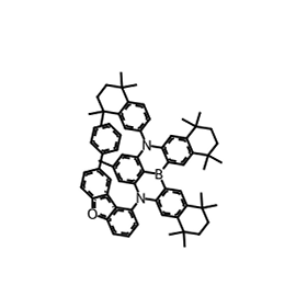 Cc1cc2c3c(c1)N(c1cccc4oc5ccc(-c6ccccc6)cc5c14)c1cc4c(cc1B3c1cc3c(cc1N2c1ccc2c(c1)C(C)(C)CCC2(C)C)C(C)(C)CCC3(C)C)C(C)(C)CCC4(C)C